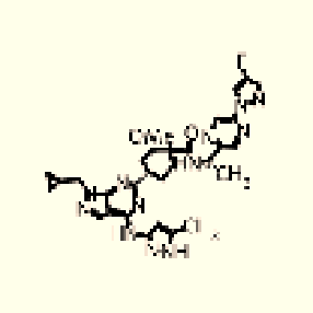 CO[C@]1(C(=O)N[C@@H](C)c2cnc(-n3cc(F)cn3)cn2)CC[C@H](c2nc(Nc3cc(C)[nH]n3)c3cnn(CC4CC4)c3n2)CC1